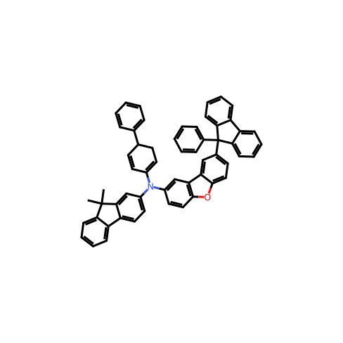 CC1(C)c2ccccc2-c2ccc(N(C3=CCC(c4ccccc4)C=C3)c3ccc4oc5ccc(C6(c7ccccc7)c7ccccc7-c7ccccc76)cc5c4c3)cc21